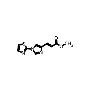 COC(=O)C=Cc1cn(-c2nccs2)cn1